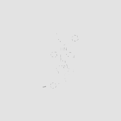 C#Cc1ccc(OCC(=O)O[C@](C)(CI)C(=O)C(CC(C)C)NC(=O)[C@H](Cc2ccccc2)NC(=O)C(CC(C)C)NC(=O)[C@H](CCc2ccccc2)NC(=O)CN2CCOCC2)cc1